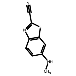 CNc1ccc2nc(C#N)sc2c1